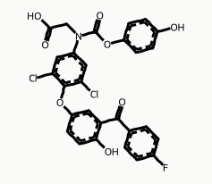 O=C(O)CN(C(=O)Oc1ccc(O)cc1)c1cc(Cl)c(Oc2ccc(O)c(C(=O)c3ccc(F)cc3)c2)c(Cl)c1